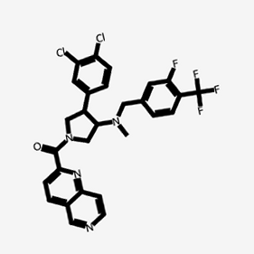 CN(Cc1ccc(C(F)(F)F)c(F)c1)C1CN(C(=O)c2ccc3cnccc3n2)CC1c1ccc(Cl)c(Cl)c1